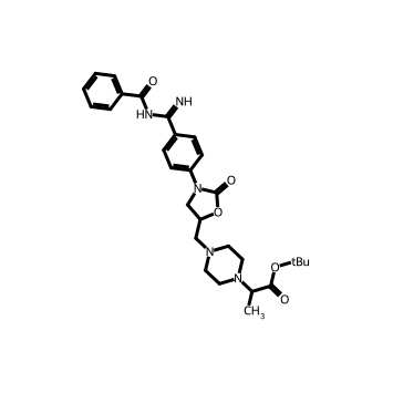 CC(C(=O)OC(C)(C)C)N1CCN(CC2CN(c3ccc(C(=N)NC(=O)c4ccccc4)cc3)C(=O)O2)CC1